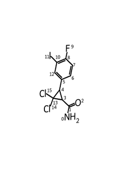 NC(=O)C1C(c2ccc(F)c(I)c2)C1(Cl)Cl